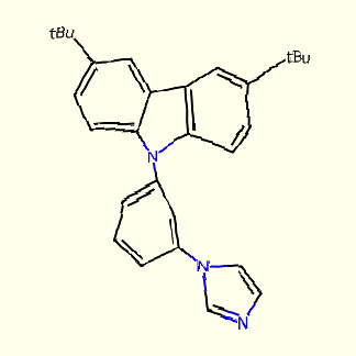 CC(C)(C)c1ccc2c(c1)c1cc(C(C)(C)C)ccc1n2-c1cccc(-n2ccnc2)c1